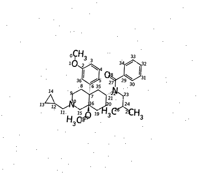 COc1cccc([C@@]23CCN(CC4CC4)C[C@@]2(OC)CC[C@@H](N(CC(C)C)C(=O)c2ccccc2)C3)c1